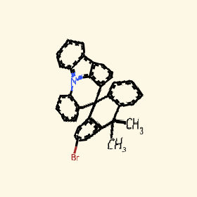 CC1(C)c2ccccc2C2(c3ccccc3-n3c4ccccc4c4cccc2c43)c2ccc(Br)cc21